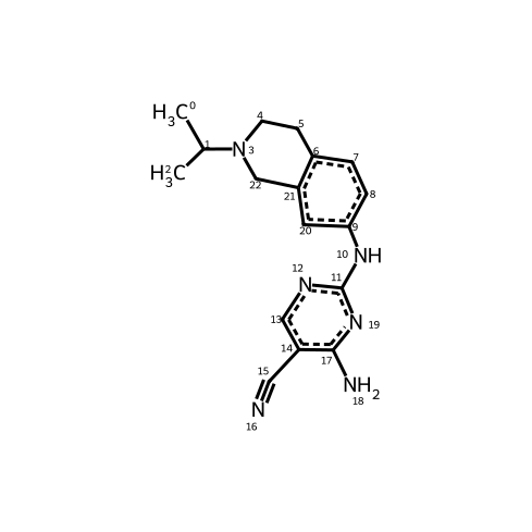 CC(C)N1CCc2ccc(Nc3ncc(C#N)c(N)n3)cc2C1